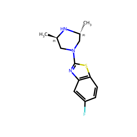 C[C@@H]1CN(c2nc3cc(F)ccc3s2)C[C@@H](C)N1